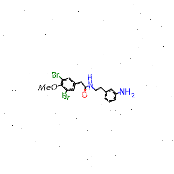 COc1c(Br)cc(CC(=O)NCCc2cccc(N)c2)cc1Br